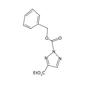 CCOC(=O)c1cnn(C(=O)OCc2ccccc2)n1